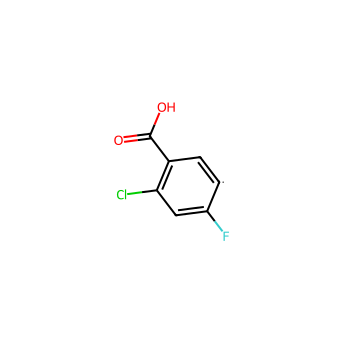 O=C(O)c1c[c]c(F)cc1Cl